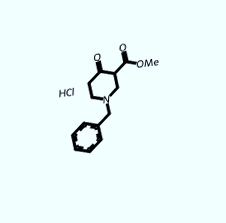 COC(=O)C1CN(Cc2ccccc2)CCC1=O.Cl